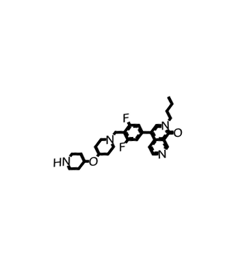 CCCCn1cc(-c2cc(F)c(CN3CCC(OC4CCNCC4)CC3)c(F)c2)c2ccncc2c1=O